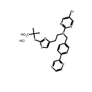 CCc1cnc(N(CCc2csc(SC(C)(C)C(=O)O)n2)Cc2ccc(-c3cnccn3)cc2)nc1.Cl